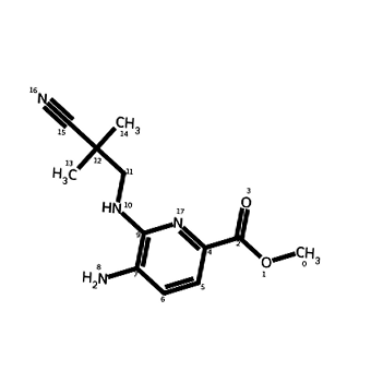 COC(=O)c1ccc(N)c(NCC(C)(C)C#N)n1